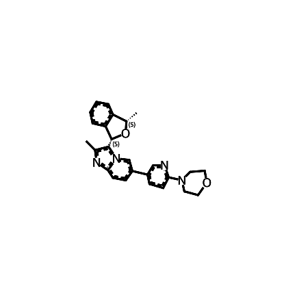 Cc1nc2ccc(-c3ccc(N4CCOCC4)nc3)cn2c1[C@H]1O[C@@H](C)c2ccccc21